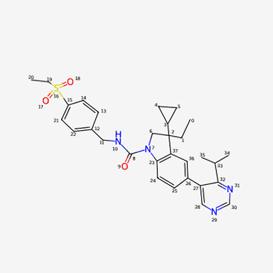 CCC1(C2CC2)CN(C(=O)NCc2ccc(S(=O)(=O)CC)cc2)c2ccc(-c3cncnc3C(C)C)cc21